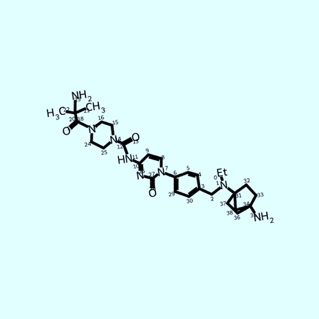 CCN(Cc1ccc(-n2ccc(NC(=O)N3CCN(C(=O)C(C)(C)N)CC3)nc2=O)cc1)C12CCC(N)(CC1)C2